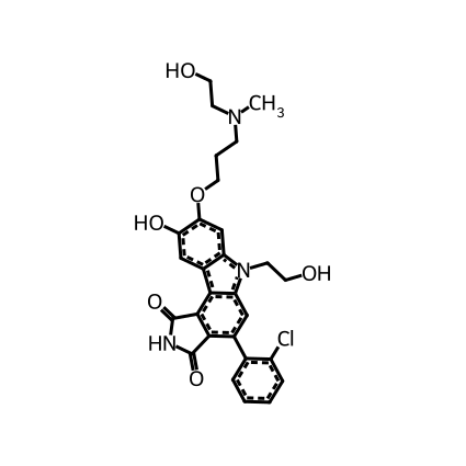 CN(CCO)CCCOc1cc2c(cc1O)c1c3c(c(-c4ccccc4Cl)cc1n2CCO)C(=O)NC3=O